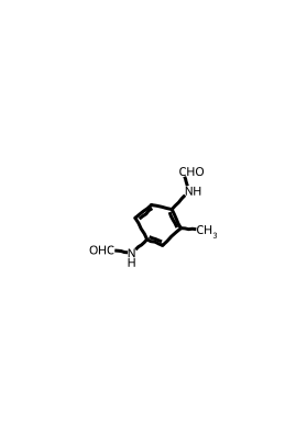 Cc1cc(NC=O)ccc1NC=O